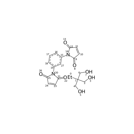 CCC(CO)(CO)CO.O=C1C=CC(=O)N1c1cccc(N2C(=O)C=CC2=O)c1